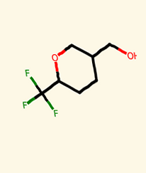 OCC1CCC(C(F)(F)F)OC1